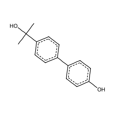 CC(C)(O)c1ccc(-c2ccc(O)cc2)cc1